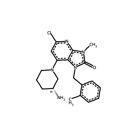 Cc1ccccc1Cn1c(=O)n(C)c2nc(Cl)cc(N3CCC[C@@H](N)C3)c21